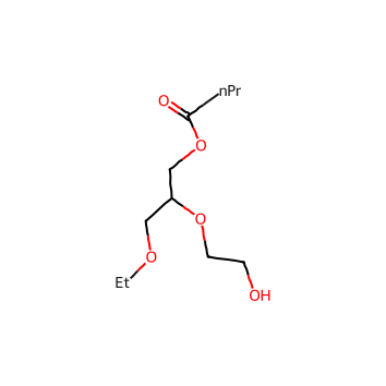 CCCC(=O)OCC(COCC)OCCO